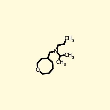 CCCN(CC1CCCCOCC1)C(C)C